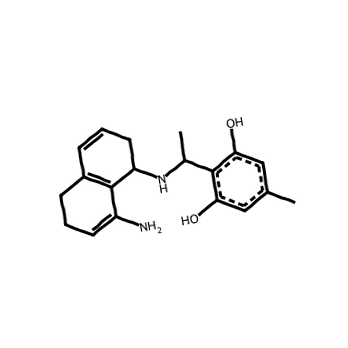 Cc1cc(O)c(C(C)NC2CC=CC3=C2C(N)=CCC3)c(O)c1